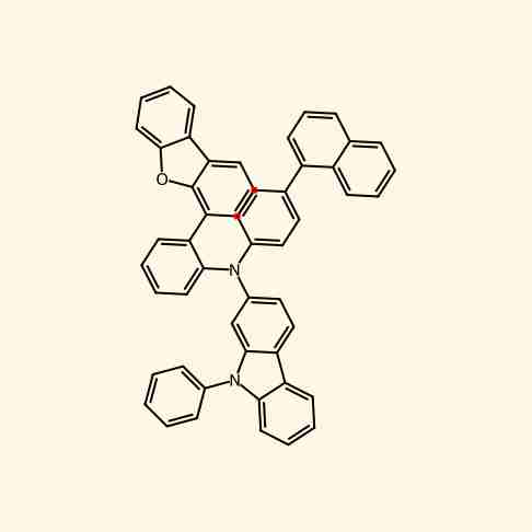 c1ccc(-n2c3ccccc3c3ccc(N(c4ccc(-c5cccc6ccccc56)cc4)c4ccccc4-c4cccc5c4oc4ccccc45)cc32)cc1